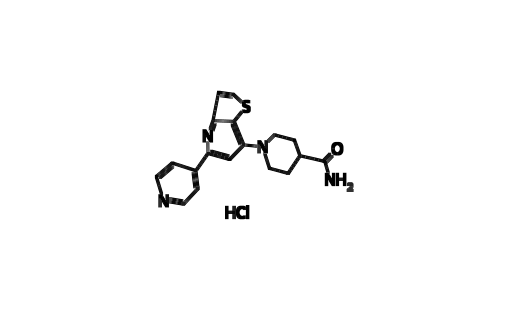 Cl.NC(=O)C1CCN(c2cc(-c3ccncc3)nc3ccsc23)CC1